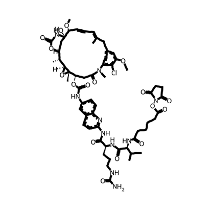 COc1cc2cc(c1Cl)N(C)C(=O)C[C@H](OC(=O)Nc1ccc3nc(NC(=O)[C@H](CCCNC(N)=O)NC(=O)[C@@H](NC(=O)CCCCC(=O)ON4C(=O)CCC4=O)C(C)C)ccc3c1)[C@]1(C)O[C@H]1[C@H](C)[C@@H]1C[C@@](O)(NC(=O)O1)[C@H](OC)/C=C/C=C(\C)C2